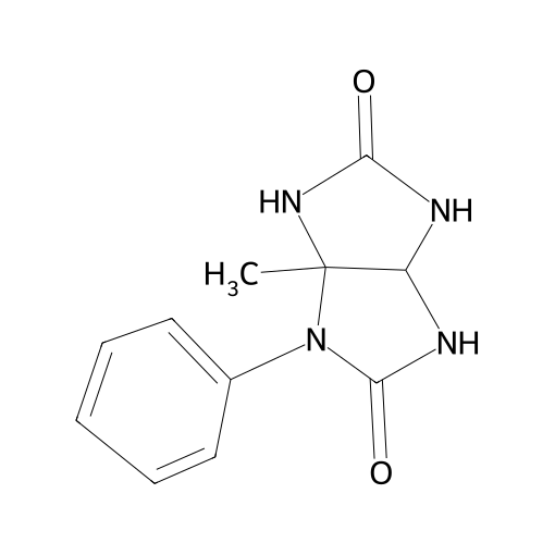 CC12NC(=O)NC1NC(=O)N2c1ccccc1